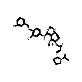 COc1c(NC(=O)/C=C/[C@H]2CCCN2C(C)C)ccc2ncnc(Nc3ccc(OCc4cccc(F)c4)c(Cl)c3)c12